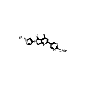 COc1ncc(-c2cc(C)c3c(n2)CN(c2cnn(C(C)(C)C)c2)C3=O)cn1